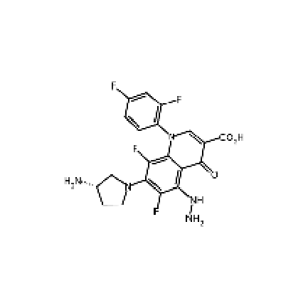 NNc1c(F)c(N2CC[C@H](N)C2)c(F)c2c1c(=O)c(C(=O)O)cn2-c1ccc(F)cc1F